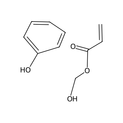 C=CC(=O)OCO.Oc1ccccc1